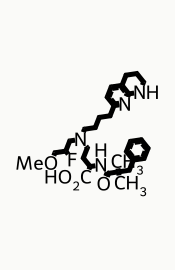 COCC(F)CN(CCCCc1ccc2c(n1)NCCC2)CCC(NC(=O)C(C)(C)Cc1ccccc1)C(=O)O